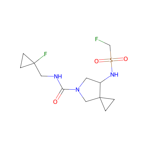 O=C(NCC1(F)CC1)N1CC(NS(=O)(=O)CF)C2(CC2)C1